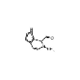 CN1C=Cc2cc[nH]c2C1C=O